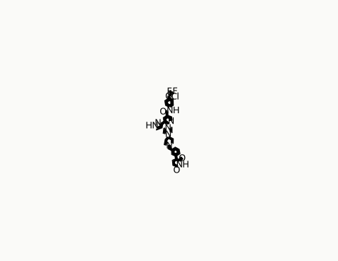 O=C1CCC(c2cccc(CN3CCC(N4CCN(c5ncc(C(=O)Nc6ccc(OC(F)(F)Cl)cc6)cc5-c5cc[nH]n5)CC4)CC3)c2)C(=O)N1